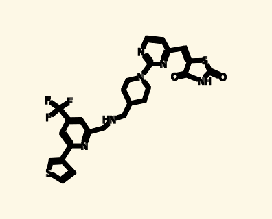 O=C1NC(=O)/C(=C\c2ccnc(N3CCC(CNCc4cc(C(F)(F)F)cc(-c5ccsc5)n4)CC3)n2)S1